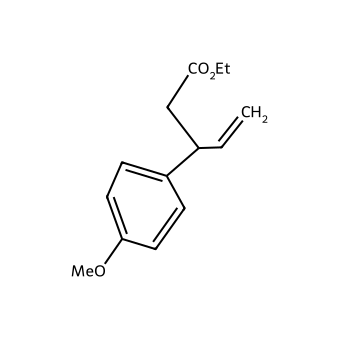 C=CC(CC(=O)OCC)c1ccc(OC)cc1